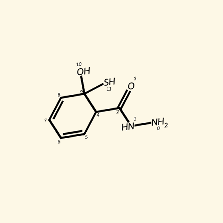 NNC(=O)C1C=CC=CC1(O)S